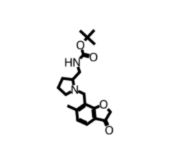 Cc1ccc2c(c1CN1CCCC1CNC(=O)OC(C)(C)C)OCC2=O